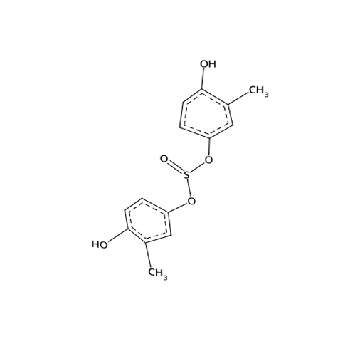 Cc1cc(OS(=O)Oc2ccc(O)c(C)c2)ccc1O